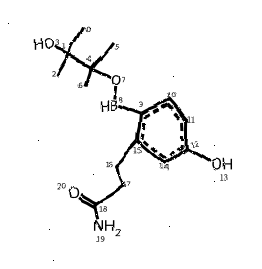 CC(C)(O)C(C)(C)OBc1ccc(O)cc1CCC(N)=O